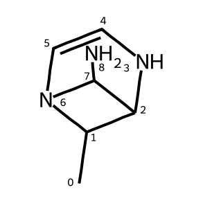 CC1C2NC=CN1C2N